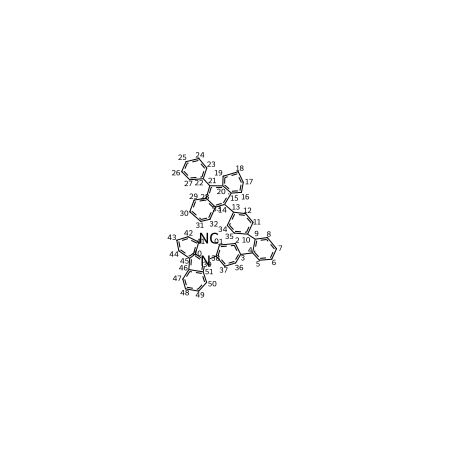 N#Cc1cc(-c2ccccc2-c2ccc(-c3c4ccccc4c(-c4ccccc4)c4ccccc34)cc2)ccc1-n1c2ccccc2c2ccccc21